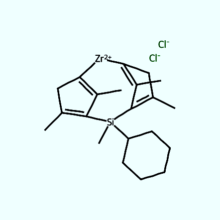 CC1=C2C(C)=[C](C1)[Zr+2][C]1=C(C)C(=C(C)C1)[Si]2(C)C1CCCCC1.[Cl-].[Cl-]